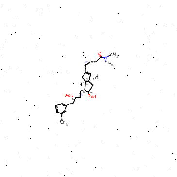 Cc1cccc(C[C@H](O)/C=C/[C@@H]2[C@H]3CC(/C=C\CC(=O)N(C)C)=C[C@H]3C[C@H]2O)c1